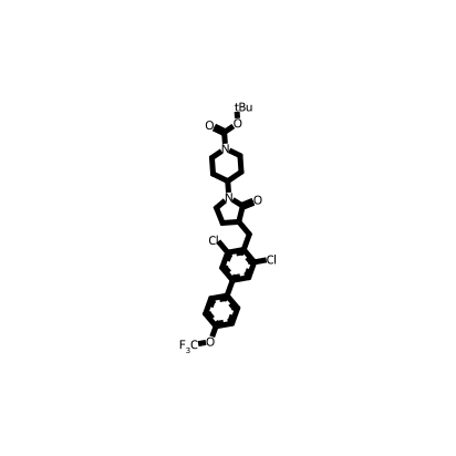 CC(C)(C)OC(=O)N1CCC(N2CCC(Cc3c(Cl)cc(-c4ccc(OC(F)(F)F)cc4)cc3Cl)C2=O)CC1